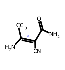 N#C/C(C(N)=O)=C(\N)C(Cl)(Cl)Cl